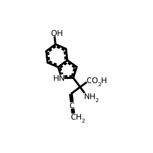 C=C=CC(N)(C(=O)O)c1cc2cc(O)ccc2[nH]1